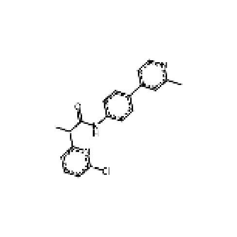 Cc1cc(-c2ccc(NC(=O)C(C)c3cccc(Cl)n3)cc2)ccn1